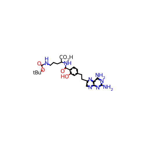 CC(C)(C)OC(=O)NCCCC(NC(=O)c1ccc(CCc2cnc3nc(N)nc(N)c3n2)cc1O)C(=O)O